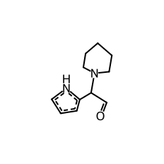 O=CC(c1ccc[nH]1)N1CCCCC1